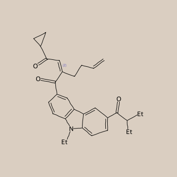 C=CCC/C(=C/C(=O)C1CC1)C(=O)c1ccc2c(c1)c1cc(C(=O)C(CC)CC)ccc1n2CC